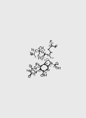 CC(C)(C)OC(=O)N(CCC(F)F)C[C@H]1Cc2c(cc(O)c(N3CC(=O)NS3(=O)=O)c2F)N1C(=O)O.N